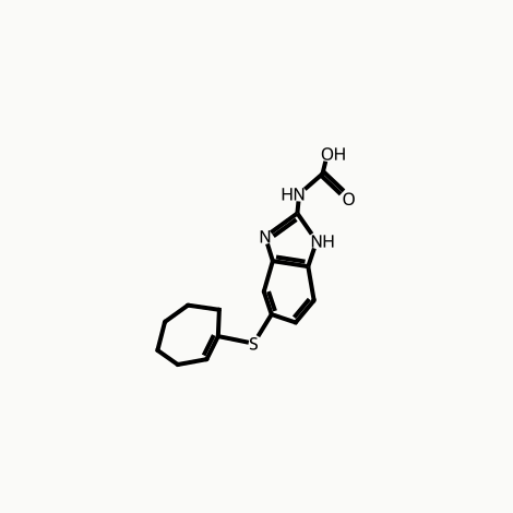 O=C(O)Nc1nc2cc(SC3=CCCCCC3)ccc2[nH]1